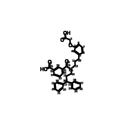 O=C(O)COc1cccc(CCCN(CCC(c2ccccc2)c2ccccc2)C(=O)c2cccc(C(=O)O)c2)c1